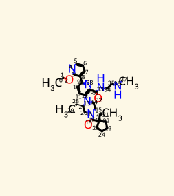 CCOc1ncccc1-c1ccc(N2CCN(C(=O)C3(CC)CCCC3)C[C@H]2CC)c(C(=O)NCCNC)n1